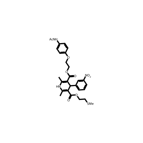 CSCCOC(=O)C1=C(C)NC(C)=C(C(=O)OCCOc2ccc(NC(C)=O)cc2)C1c1cccc([N+](=O)[O-])c1